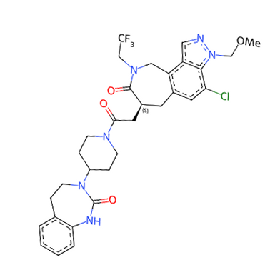 COCn1ncc2c3c(cc(Cl)c21)C[C@@H](CC(=O)N1CCC(N2CCc4ccccc4NC2=O)CC1)C(=O)N(CC(F)(F)F)C3